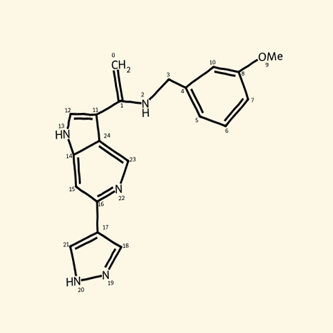 C=C(NCc1cccc(OC)c1)c1c[nH]c2cc(-c3cn[nH]c3)ncc12